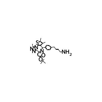 Cc1sc2c(c1C)C(c1ccc(CC=CCN)cc1)=NC(CC(=O)OC(C)(C)C)c1nnc(C)n1-2